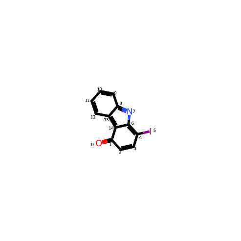 O=C1C=CC(I)=C2N=c3ccccc3=C12